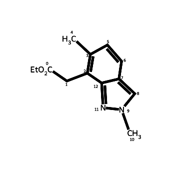 CCOC(=O)Cc1c(C)ccc2cn(C)nc12